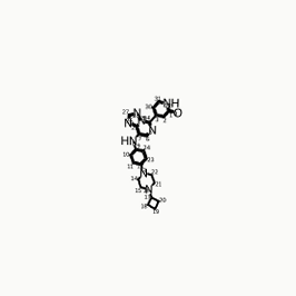 O=c1cc(-c2ncc(Nc3ccc(N4CCN(C5CCC5)CC4)cc3)c3ncnn23)cc[nH]1